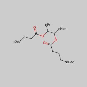 CCCCCCCCCCCCCC(=O)OC(CCCCCCCCC)C(CCC)OC(=O)CCCCCCCCCCCC